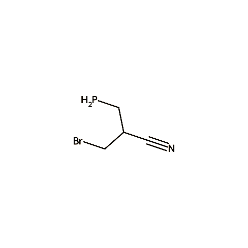 N#CC(CP)CBr